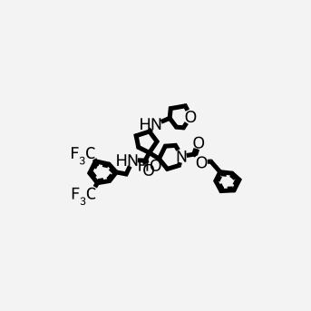 O=C(OCc1ccccc1)N1CCC(O)(C2(C(=O)NCc3cc(C(F)(F)F)cc(C(F)(F)F)c3)CCC(NC3CCOCC3)C2)CC1